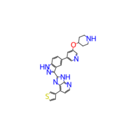 c1cc(-c2ccsc2)c2nc(-c3n[nH]c4ccc(-c5cncc(OC6CCNCC6)c5)cc34)[nH]c2n1